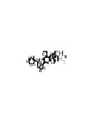 CN(C)C=C1C(=O)CC(c2cccn2Cc2ccccc2)CC1=O